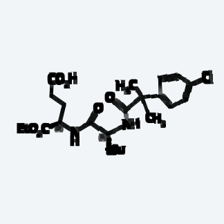 CCOC(=O)[C@@H](CCC(=O)O)NC(=O)[C@@H](NC(=O)C(C)(C)c1ccc(Cl)cc1)C(C)(C)C